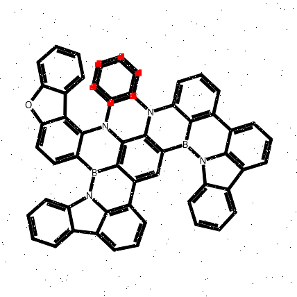 c1ccc(N2c3cccc4c3B(c3cc5c6c(c32)N(c2ccccc2)c2c(ccc3oc7ccccc7c23)B6n2c3ccccc3c3cccc-5c32)n2c3ccccc3c3cccc-4c32)cc1